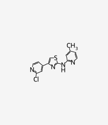 Cc1ccnc(Nc2nc(-c3ccnc(Cl)c3)cs2)c1